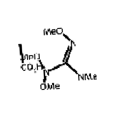 CC(=O)O.CNC(=NOC)N(OC)OC